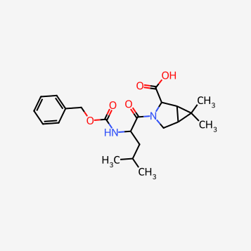 CC(C)CC(NC(=O)OCc1ccccc1)C(=O)N1CC2C(C1C(=O)O)C2(C)C